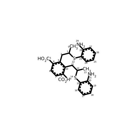 CC(Cc1c(C(=O)O)ccc(C(=O)O)c1CC(C)Sc1ccccc1N)Sc1ccccc1N